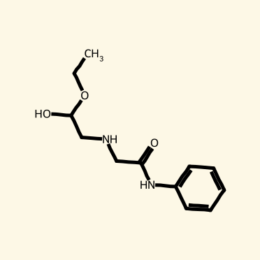 CCOC(O)CNCC(=O)Nc1ccccc1